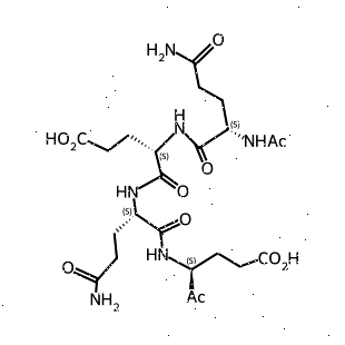 CC(=O)N[C@@H](CCC(N)=O)C(=O)N[C@@H](CCC(=O)O)C(=O)N[C@@H](CCC(N)=O)C(=O)N[C@@H](CCC(=O)O)C(C)=O